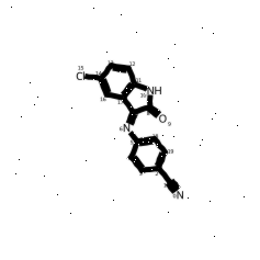 N#Cc1ccc(N=C2C(=O)Nc3ccc(Cl)cc32)cc1